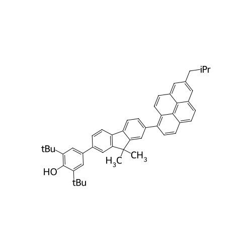 CC(C)Cc1cc2ccc3ccc(-c4ccc5c(c4)C(C)(C)c4cc(-c6cc(C(C)(C)C)c(O)c(C(C)(C)C)c6)ccc4-5)c4ccc(c1)c2c34